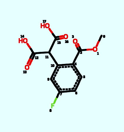 COC(=O)c1ccc(F)cc1C(C(=O)O)C(=O)O